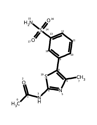 CC(=O)Nc1nc(C)c(-c2cccc(S(N)(=O)=O)c2)s1